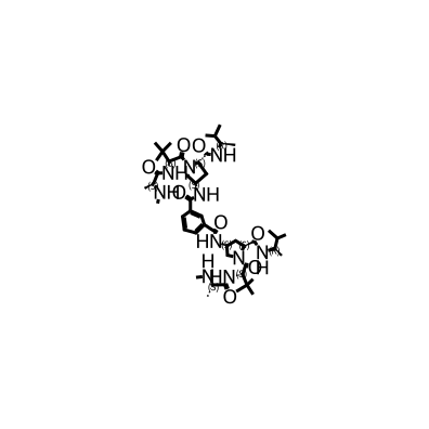 CN[C@@H](C)C(=O)N[C@H](C(=O)N1C[C@@H](NC(=O)c2cccc(C(=O)N[C@H]3C[C@@H](C(=O)N[C@H](C)C(C)C)N(C(=O)[C@@H](NC(=O)[C@H](C)NC)C(C)(C)C)C3)c2)C[C@H]1C(=O)N[C@H](C)C(C)C)C(C)(C)C